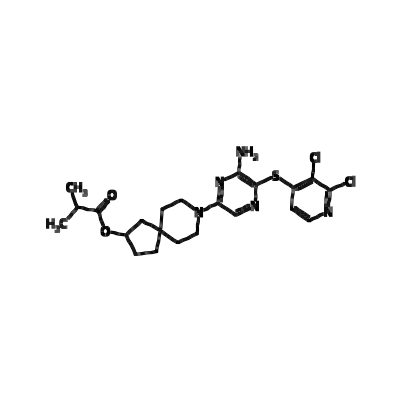 CC(C)C(=O)OC1CCC2(CCN(c3cnc(Sc4ccnc(Cl)c4Cl)c(N)n3)CC2)C1